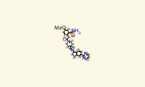 COc1ccc(CC(=O)N2CCC3(CC2)CN(C2CCc4cc(-c5ncccn5)ccc42)C3)c(C(N)=O)c1